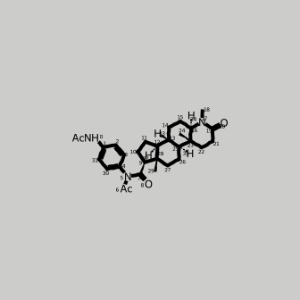 CC(=O)Nc1ccc(N(C(C)=O)C(=O)[C@H]2CC[C@H]3[C@@H]4CC[C@H]5N(C)C(=O)CC[C@]5(C)[C@H]4CC[C@]23C)cc1